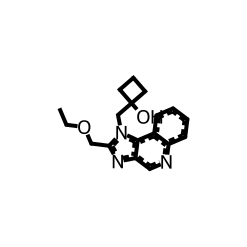 CCOCc1nc2cnc3ccccc3c2n1CC1(O)CCC1